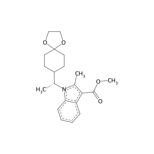 COC(=O)c1c(C)n([C@H](C)C2CCC3(CC2)OCCO3)c2ccccc12